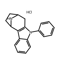 Cl.c1ccc(-n2c3c(c4ccccc42)C2CCC(C3)N2)cc1